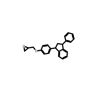 c1ccc(C2CC(c3ccc(OCC4CO4)cc3)c3ccccc32)cc1